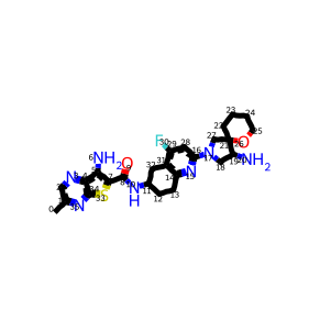 Cc1cnc2c(N)c(C(=O)NC3CCc4nc(N5CC(N)C6(CCCCO6)C5)cc(F)c4C3)sc2n1